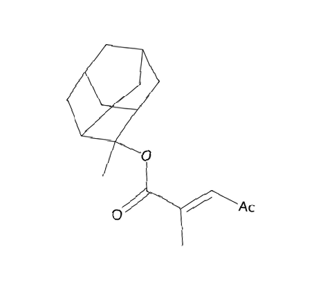 CC(=O)C=C(C)C(=O)OC1(C)C2CC3CC(C2)CC1C3